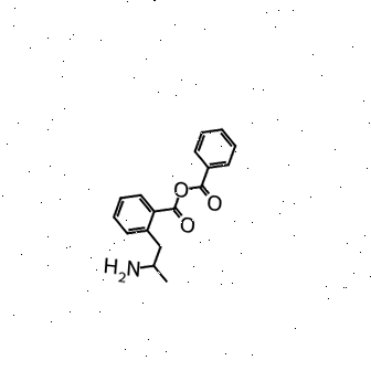 CC(N)Cc1ccccc1C(=O)OC(=O)c1ccccc1